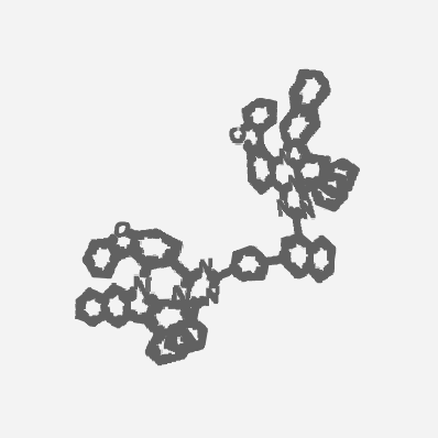 c1ccc(-c2nc(-c3ccc(-c4cc(-c5nc(-c6ccccc6)nc(-c6ccc7oc8ccccc8c7c6-n6c7cc8ccccc8cc7c7cc8ccccc8cc76)n5)c5ccccc5c4)cc3)nc(-c3ccc4oc5ccccc5c4c3-n3c4cc5ccccc5cc4c4c5ccccc5ccc43)n2)cc1